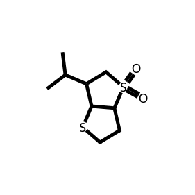 CC(C)C1CS(=O)(=O)C2CCSC12